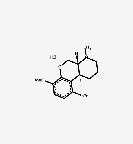 CCCc1ccc(OC)c2c1[C@@H]1CCCN(C)[C@H]1CO2.Cl